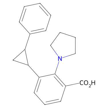 O=C(O)c1cccc(C2CC2c2ccccc2)c1N1CCCC1